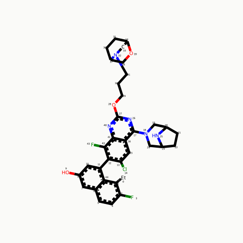 CCc1c(F)ccc2cc(O)cc(-c3c(Cl)cc4c(N5CC6CCC(C5)N6)nc(OCCCN5CC6CCC5CO6)nc4c3F)c12